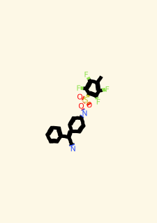 Cc1c(F)c(F)c(S(=O)(=O)ON=C2C=CC(=C(C#N)c3ccccc3)C=C2)c(F)c1F